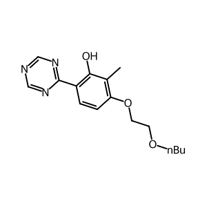 CCCCOCCOc1ccc(-c2ncncn2)c(O)c1C